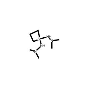 CN(C)N[Si]1(NN(C)C)CCC1